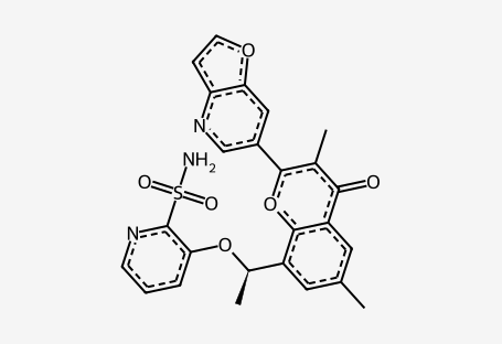 Cc1cc([C@@H](C)Oc2cccnc2S(N)(=O)=O)c2oc(-c3cnc4ccoc4c3)c(C)c(=O)c2c1